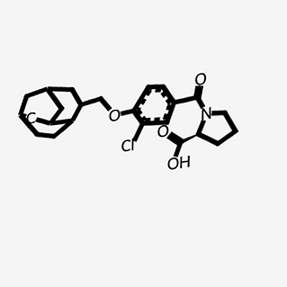 O=C(O)[C@@H]1CCCN1C(=O)c1ccc(OCC2CC3CC4CCC2C(C4)C3)c(Cl)c1